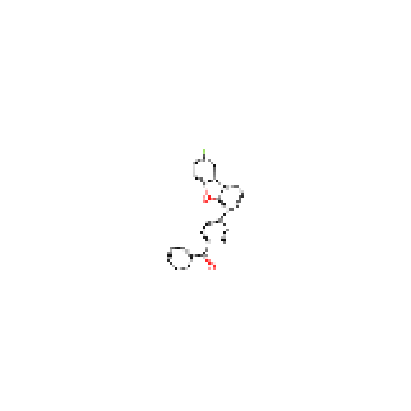 O=C(c1ccccc1)c1ccc(-c2cccc3c2oc2ccc(F)cc23)cc1